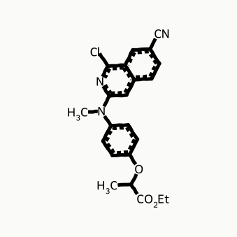 CCOC(=O)C(C)Oc1ccc(N(C)c2cc3ccc(C#N)cc3c(Cl)n2)cc1